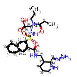 CCCN(C(=O)CC)[C@@H](NS(=O)(=O)c1cc2ccccc2cc1C(=O)NCC1CCCN[C@@H]1C=NN)C(=O)O